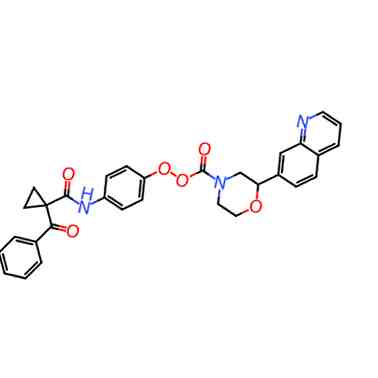 O=C(OOc1ccc(NC(=O)C2(C(=O)c3ccccc3)CC2)cc1)N1CCOC(c2ccc3cccnc3c2)C1